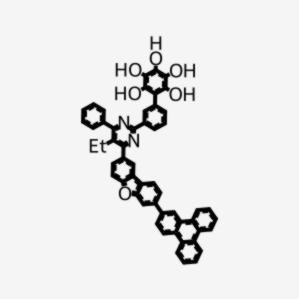 CCc1c(-c2ccccc2)nc(-c2cccc(-c3c(O)c(O)c(O)c(O)c3O)c2)nc1-c1ccc2oc3cc(-c4ccc5c6ccccc6c6ccccc6c5c4)ccc3c2c1